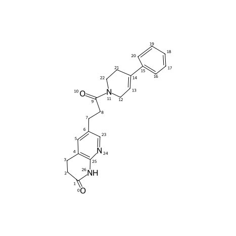 O=C1CCc2cc(CCC(=O)N3CC=C(c4ccccc4)CC3)cnc2N1